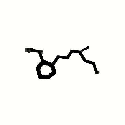 C[C@H](CCBr)CCCc1ccccc1NN